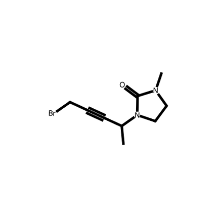 CC(C#CCBr)N1CCN(C)C1=O